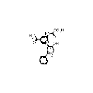 NC(=O)c1cc(NC(=O)C(=O)O)c[n+](C2C[C@H](c3ccccc3)NC[C@H]2O)c1